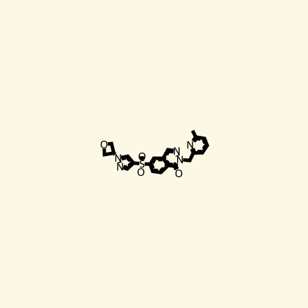 Cc1cccc(Cn2ncc3cc(S(=O)(=O)c4cnn(C5COC5)c4)ccc3c2=O)n1